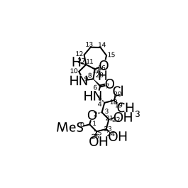 CSC1O[C@H]([C@H](NC(=O)[C@H]2NC[C@@H]3CCCCO[C@H]32)[C@H](C)Cl)[C@@H](O)C(O)[C@H]1O